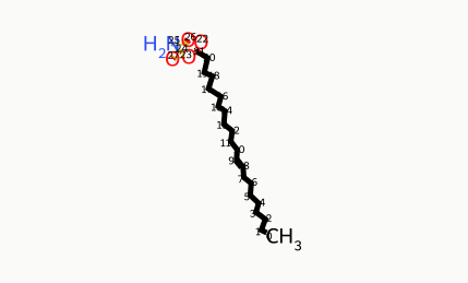 CCCCCCCCC=CCCCCCCCCCCCC(=O)OS(N)(=O)=O